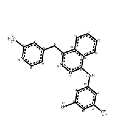 Cc1cc(Cc2nnc(Nc3cc(Br)cc(C(F)(F)F)c3)c3ccccc23)ccn1